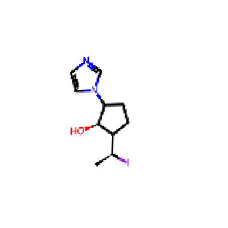 C[C@H](I)C1CCC(n2ccnc2)[C@@H]1O